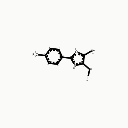 CC(C)c1oc(-c2ccc(C(F)(F)F)cc2)nc1CI